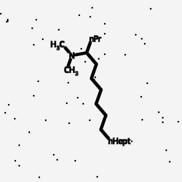 CCCCCCCCCCCCCC(CCC)N(C)C